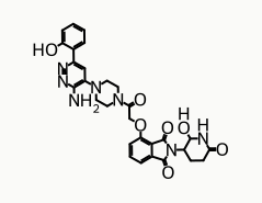 Nc1nnc(-c2ccccc2O)cc1N1CCN(C(=O)COc2cccc3c2C(=O)N(C2CCC(=O)NC2O)C3=O)CC1